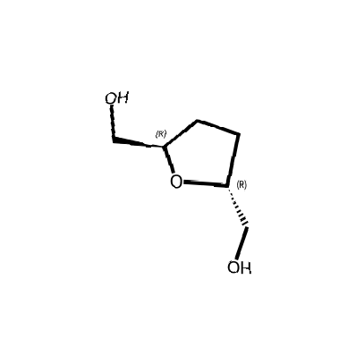 OC[C@H]1CC[C@H](CO)O1